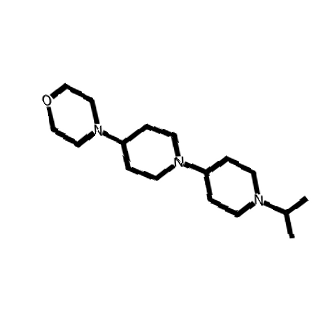 CC(C)N1CCC(N2CCC(N3CCOCC3)CC2)CC1